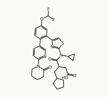 O=C(O)CC(CC1CCCC1)C(=O)N(c1nc(-c2cc(OC(F)F)ccc2-c2ccc(N3CCCCC3=O)nc2)cs1)C1CC1